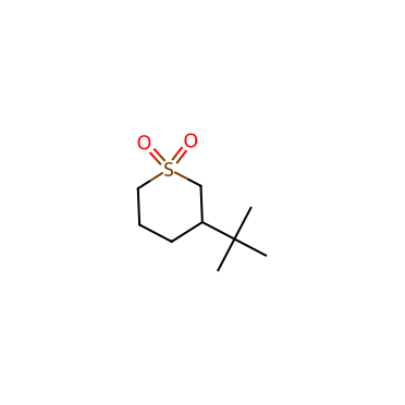 CC(C)(C)C1CCCS(=O)(=O)C1